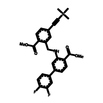 COC(=O)c1ccc(C#C[Si](C)(C)C)cc1CNc1cc(-c2ccc(F)c(F)c2)ccc1C(=O)OC